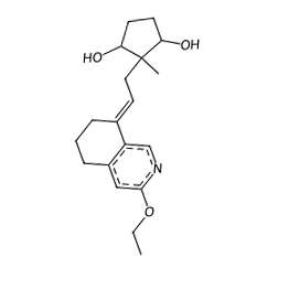 CCOc1cc2c(cn1)C(=CCC1(C)C(O)CCC1O)CCC2